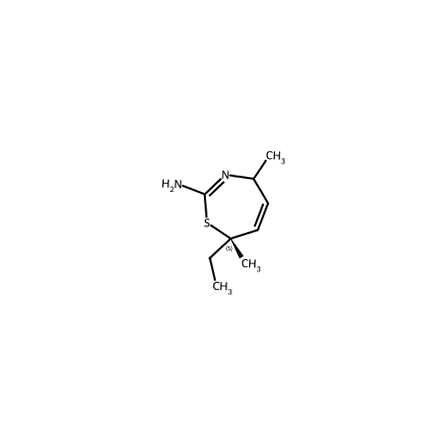 CC[C@@]1(C)C=CC(C)N=C(N)S1